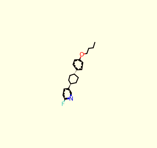 CCCCOc1ccc([C@H]2CC[C@H](c3ccc(F)nc3)CC2)cc1